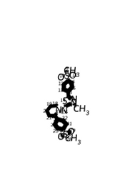 Cn1nc(-c2ccc(S(C)(=O)=O)cc2)sc1=NN1CCCCC1c1ccc(S(C)(=O)=O)cc1